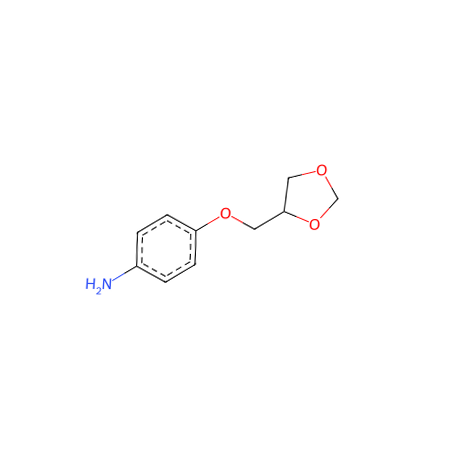 Nc1ccc(OCC2COCO2)cc1